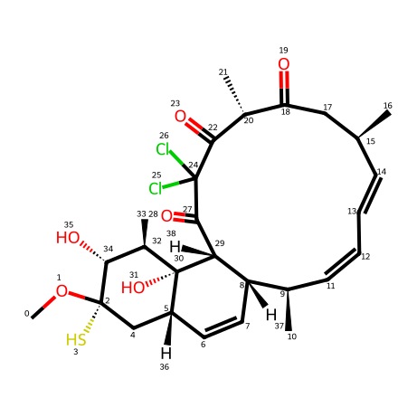 CO[C@]1(S)C[C@H]2C=C[C@H]3[C@H](C)/C=C\C=C\[C@H](C)CC(=O)[C@@H](C)C(=O)C(Cl)(Cl)C(=O)[C@H]3[C@]2(O)[C@H](C)[C@H]1O